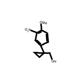 COc1ccc(C2(CO)CC2)cc1[N+](=O)[O-]